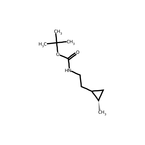 C[C@H]1CC1CCNC(=O)OC(C)(C)C